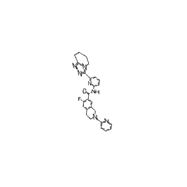 O=C(Nc1cccc(-c2nnc3n2CCCC3)n1)c1cc2c(cc1F)CCN(c1ccccn1)C2